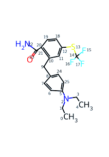 CCN(CC)c1ccc(Cc2cc(SC(F)(F)F)ccc2C(N)=O)cc1